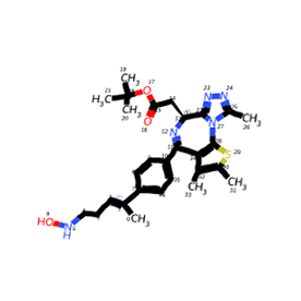 C/C(=C\CCNO)c1ccc(C2=N[C@@H](CC(=O)OC(C)(C)C)c3nnc(C)n3-c3sc(C)c(C)c32)cc1